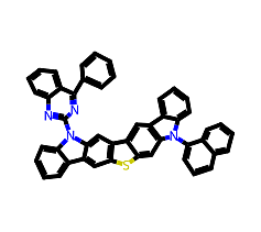 c1ccc(-c2nc(-n3c4ccccc4c4cc5sc6cc7c(cc6c5cc43)c3ccccc3n7-c3cccc4ccccc34)nc3ccccc23)cc1